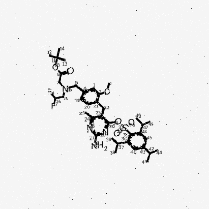 COc1cc(CN(CC(=O)OC(C)(C)C)CC(F)F)ccc1Cc1c(C)nc(N)nc1OS(=O)(=O)c1c(C(C)C)cc(C(C)C)cc1C(C)C